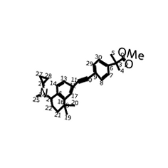 COC(=O)C(C)(C)c1ccc(C#Cc2ccc3c(c2)C(C)(C)CCC3N(C)C2CC2)cc1